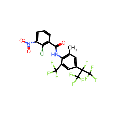 Cc1cc(C(F)(C(F)(F)F)C(F)(F)F)cc(C(F)(F)F)c1NC(=O)c1cccc([N+](=O)[O-])c1Cl